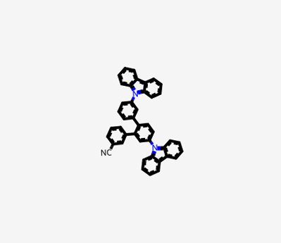 N#Cc1cccc(-c2cc(-n3c4ccccc4c4ccccc43)ccc2-c2cccc(-n3c4ccccc4c4ccccc43)c2)c1